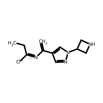 C=C(/N=C(/Cl)CC)c1cnn(C2CNC2)c1